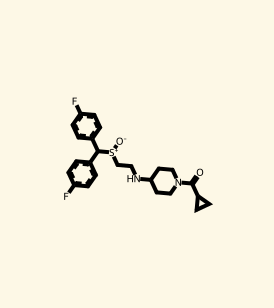 O=C(C1CC1)N1CCC(NCC[S+]([O-])C(c2ccc(F)cc2)c2ccc(F)cc2)CC1